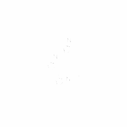 CCN1Cc2ccc(CCN3CCc4ccc(C(C)Sc5ccc(C(C)C)c6c5CN(C5COC5)C6)cc4C3)c(C(C)C)c2C1